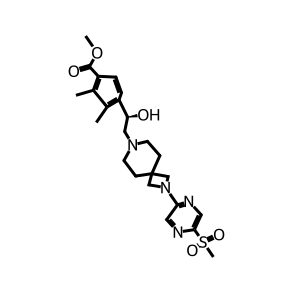 COC(=O)c1ccc([C@@H](O)CN2CCC3(CC2)CN(c2cnc(S(C)(=O)=O)cn2)C3)c(C)c1C